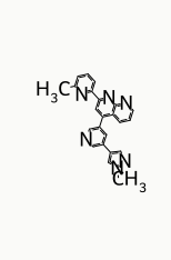 Cc1cccc(-c2cc(-c3cncc(-c4cnn(C)c4)c3)c3cccnc3n2)n1